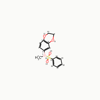 CB(c1ccc2c(c1)OCCO2)S(=O)(=O)c1ccccc1